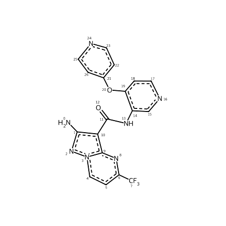 Nc1nn2ccc(C(F)(F)F)nc2c1C(=O)Nc1cnccc1Oc1ccncc1